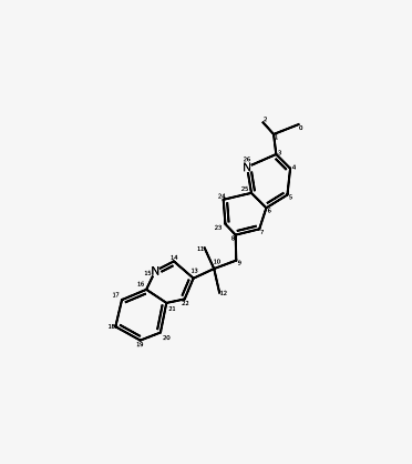 CC(C)c1ccc2cc(CC(C)(C)c3cnc4ccccc4c3)ccc2n1